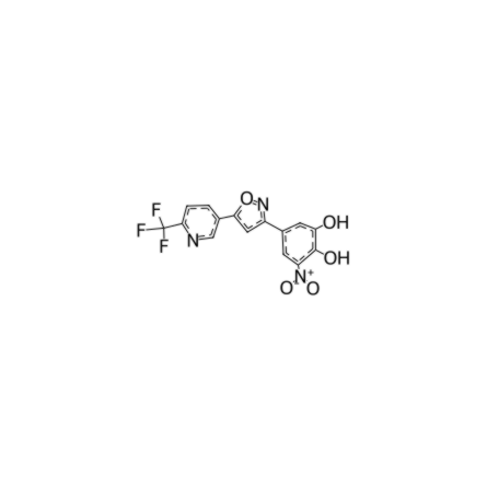 O=[N+]([O-])c1cc(-c2cc(-c3ccc(C(F)(F)F)nc3)on2)cc(O)c1O